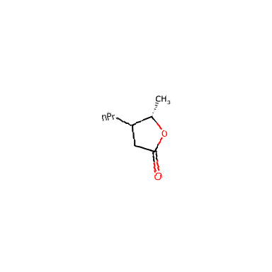 CCCC1CC(=O)O[C@H]1C